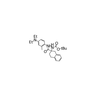 CCN(CC)c1ccc(NC(=O)C2(NC(=O)OC(C)(C)C)CCc3ccccc3C2)c(C)c1